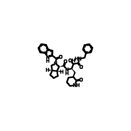 O=C(NCc1ccccc1)C(O)[C@H](C[C@@H]1CCCNC1=O)NC(=O)[C@@H]1[C@H]2CCC[C@H]2CN1C(=O)c1cc2ccccc2[nH]1